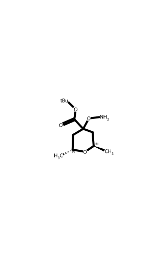 C[C@@H]1CC(ON)(C(=O)OC(C)(C)C)C[C@@H](C)O1